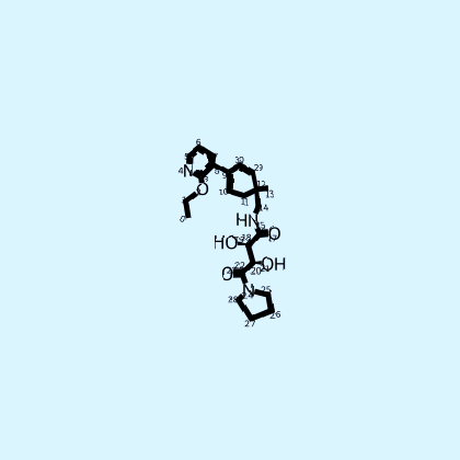 CCOc1ncccc1C1=CCC(C)(CNC(=O)[C@H](O)[C@@H](O)C(=O)N2CCCC2)C=C1